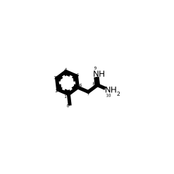 Cc1c[c]ccc1CC(=N)N